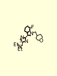 CCN(CC)Cc1nc(-c2cn(CC3CCOCC3)c3c(F)cccc23)ns1